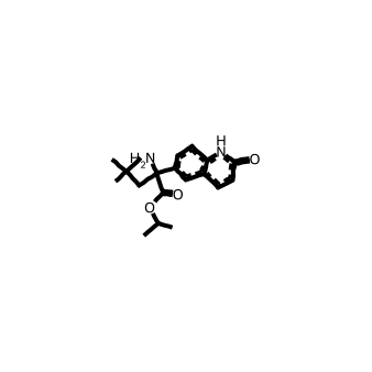 CC(C)OC(=O)C(N)(CC(C)(C)C)c1ccc2[nH]c(=O)ccc2c1